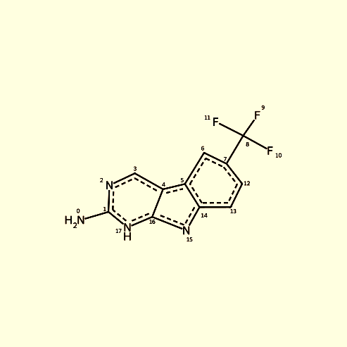 Nc1ncc2c3cc(C(F)(F)F)ccc3nc-2[nH]1